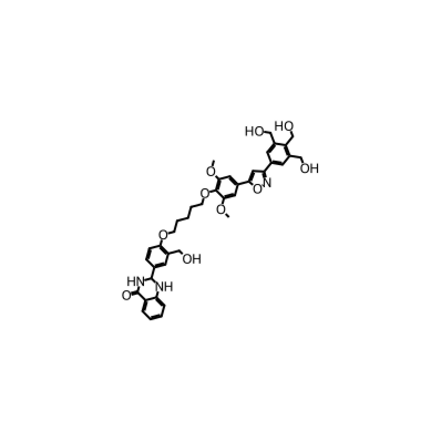 COc1cc(-c2cc(-c3cc(CO)c(CO)c(CO)c3)no2)cc(OC)c1OCCCCCOc1ccc(C2NC(=O)c3ccccc3N2)cc1CO